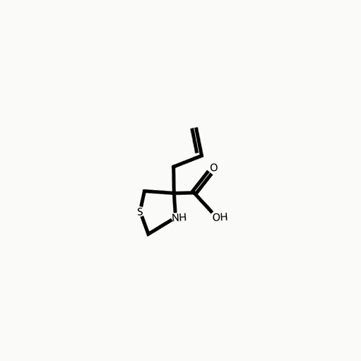 C=CCC1(C(=O)O)CSCN1